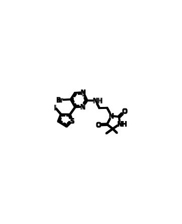 CC1(C)NC(=O)N(CCNc2ncc(Br)c(-c3sccc3I)n2)C1=O